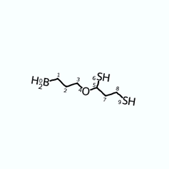 BCCCOC(S)CCS